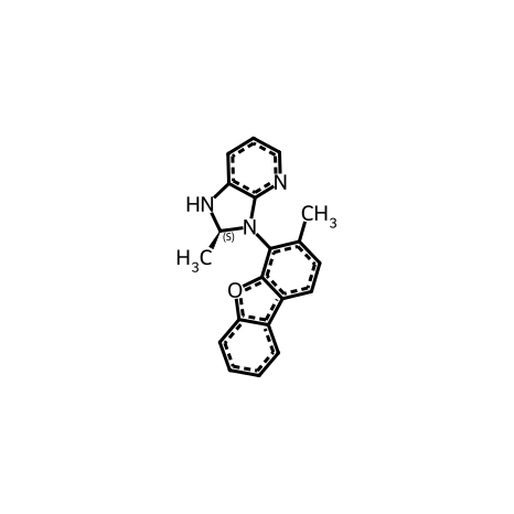 Cc1ccc2c(oc3ccccc32)c1N1c2ncccc2N[C@@H]1C